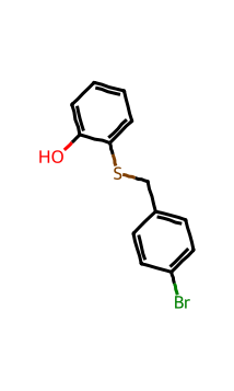 Oc1ccccc1SCc1ccc(Br)cc1